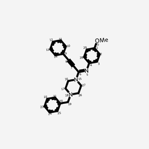 COc1ccc(/N=C(\C#Cc2ccccc2)N2CCN(Cc3ccccc3)CC2)cc1